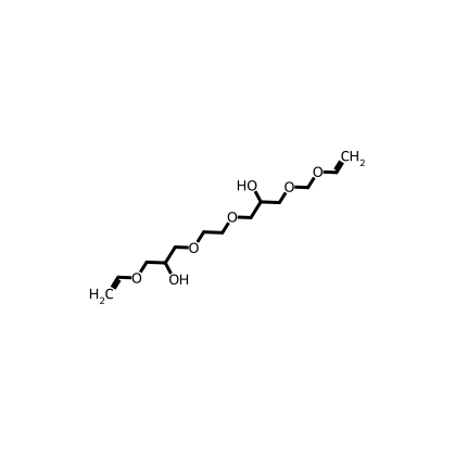 C=COCOCC(O)COCCOCC(O)COC=C